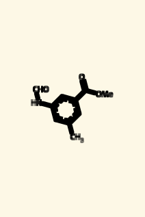 COC(=O)c1cc(C)cc(NC=O)c1